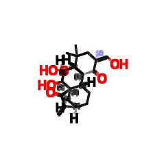 C=C1C(=O)[C@]23[C@H](C)[C@H]1CC[C@H]2[C@@]12CO[C@]3(O)[C@@H](O)[C@@H]1C(C)(C)C/C(=C/O)C2=O